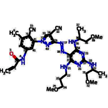 C=CC(=O)Nc1cc(C)c(C#N)c(-n2cc(C#N)c(N=Nc3c(NCCCOC)nc(NC(C)COC)nc3NC(C)COC)n2)c1